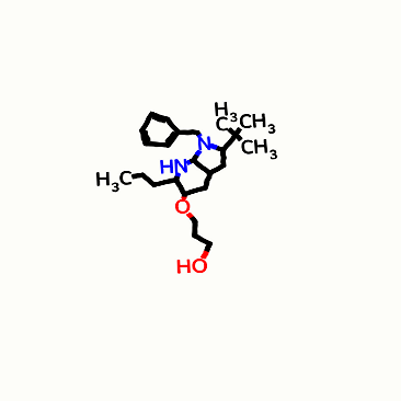 CCCC1NC2C(CC1OCCCO)CC(C(C)(C)C)N2Cc1ccccc1